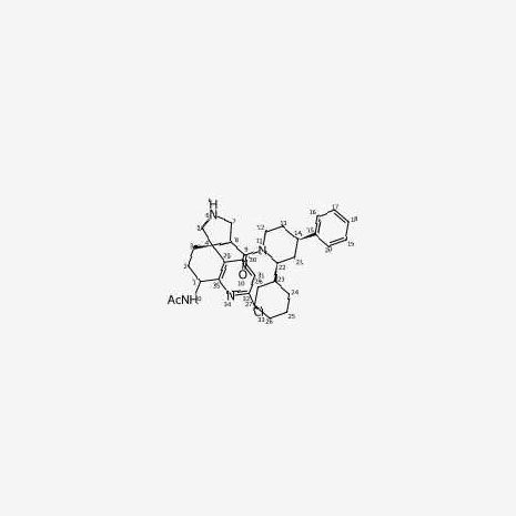 CC(=O)NC1CC[C@]2(CNCC2C(=O)N2CC[C@@H](c3ccccc3)C[C@H]2C2CCCCC2)c2ccc(Cl)nc21